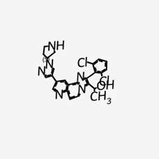 CC(O)c1c(-c2c(Cl)cccc2Cl)nc2c3cc(-c4cnn([C@H]5CCNC5)c4)cnc3ccn12